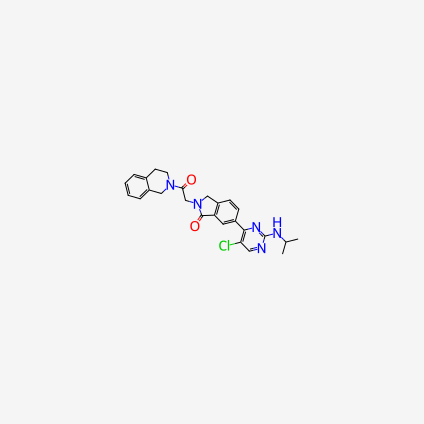 CC(C)Nc1ncc(Cl)c(-c2ccc3c(c2)C(=O)N(CC(=O)N2CCc4ccccc4C2)C3)n1